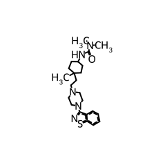 CN(C)C(=O)NC1CCC(C)(CCN2CCN(c3nsc4ccccc34)CC2)CC1